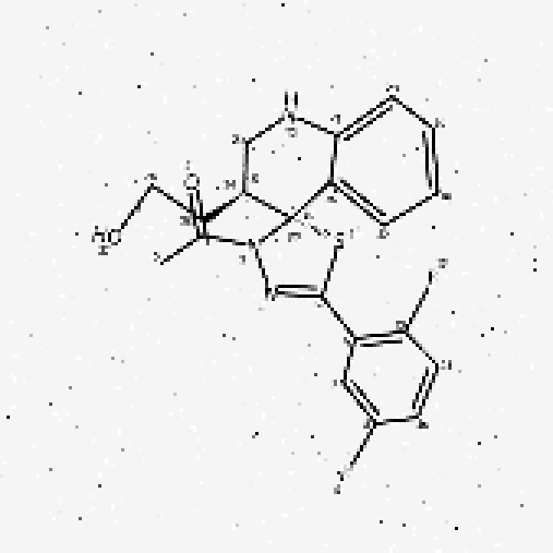 CC(=O)N1N=C(c2cc(F)ccc2F)S[C@]12c1ccccc1NC[C@@H]2CCO